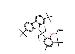 C=CCOc1c(C(C)(C)C)cc(C)cc1[Si](CC)(CC)C1c2cc(C(C)(C)C)ccc2-c2ccc(C(C)(C)C)cc21